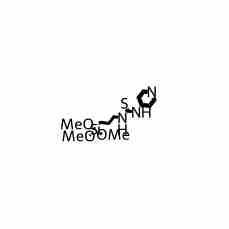 CO[Si](CCCNC(=S)Nc1ccncc1)(OC)OC